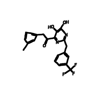 Cc1cccc(CC(=O)c2nc(Cc3cccc(C(F)(F)F)c3)nc(O)c2O)c1